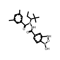 CCC(N(NC(=O)c1ccc2c(c1)NOB2O)C(=O)c1cc(C)cc(C)c1)C(C)(C)C